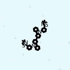 CC1(C)CSC(c2cccc(-n3c4ccccc4c4cc(-c5ccc6c(c5)c5ccccc5n6-c5cccc(C6=NC(C)(C)CS6)c5)ccc43)c2)=N1